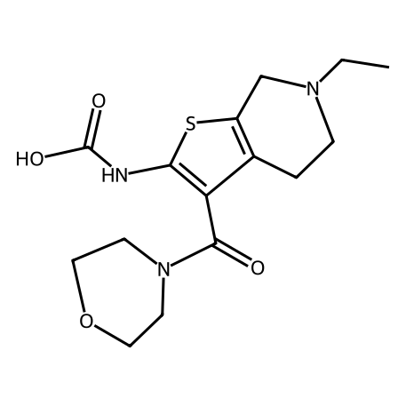 CCN1CCc2c(sc(NC(=O)O)c2C(=O)N2CCOCC2)C1